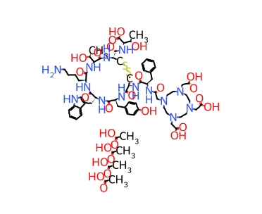 CC(=O)O.CC(=O)O.CC(=O)O.CC(=O)O.C[C@@H](O)[C@H](NC(=O)[C@@H]1CSSC[C@H](NC(=O)[C@@H](Cc2ccccc2)NC(=O)CN2CCN(CC(=O)O)CCN(CC(=O)O)CCN(CC(=O)O)CC2)C(=O)N[C@@H](Cc2ccc(O)cc2)C(=O)N[C@H](Cc2c[nH]c3ccccc23)C(=O)N[C@@H](CCCCN)C(=O)N[C@@H]([C@@H](C)O)C(=O)N1)C(=O)O